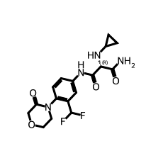 NC(=O)[C@@H](NC1CC1)C(=O)Nc1ccc(N2CCOCC2=O)c(C(F)F)c1